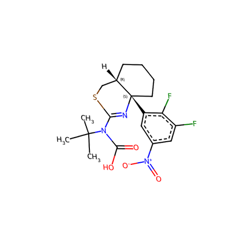 CC(C)(C)N(C(=O)O)C1=N[C@@]2(c3cc([N+](=O)[O-])cc(F)c3F)CCCC[C@H]2CS1